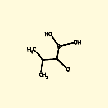 CC(C)C(Cl)B(O)O